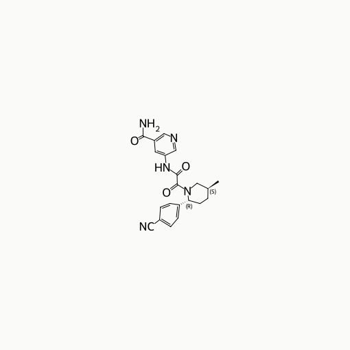 C[C@H]1CC[C@H](c2ccc(C#N)cc2)N(C(=O)C(=O)Nc2cncc(C(N)=O)c2)C1